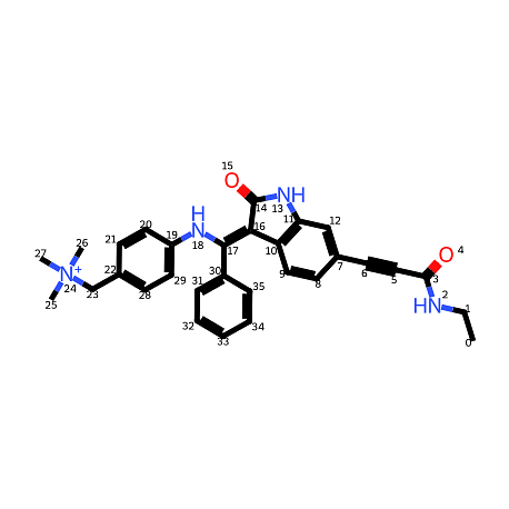 CCNC(=O)C#Cc1ccc2c(c1)NC(=O)/C2=C(\Nc1ccc(C[N+](C)(C)C)cc1)c1ccccc1